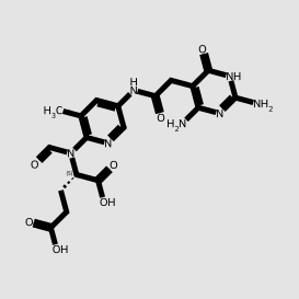 Cc1cc(NC(=O)Cc2c(N)nc(N)[nH]c2=O)cnc1N(C=O)[C@@H](CCC(=O)O)C(=O)O